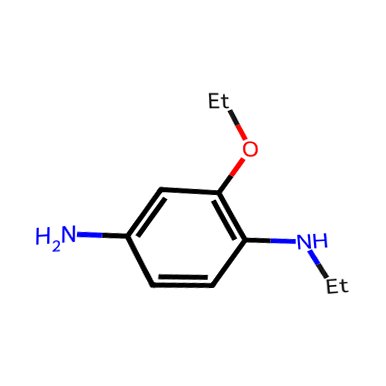 CCNc1ccc(N)cc1OCC